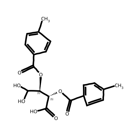 Cc1ccc(C(=O)O[C@H](C(=O)O)[C@H](OC(=O)c2ccc(C)cc2)C(O)O)cc1